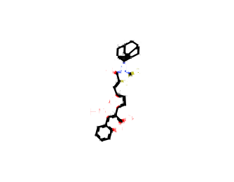 O=C1C(=Cc2ccc(-c3c(O)c4ccccc4oc3=O)o2)SC(=S)N1C1C2CC3CC(C2)CC1C3